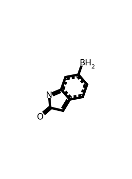 Bc1ccc2c(c1)=NC(=O)C=2